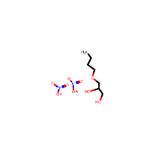 CCCCOCC(O)CO.O=[N+]([O-])O.O=[N+]([O-])O